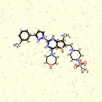 Cc1cccc(-c2ccn(-c3nc(N4CCOCC4)c4sc(CN5CCN(S(C)(=O)=O)CC5)c(C)c4n3)n2)c1